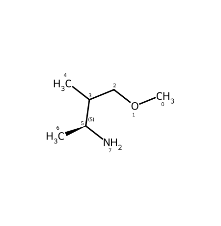 COCC(C)[C@H](C)N